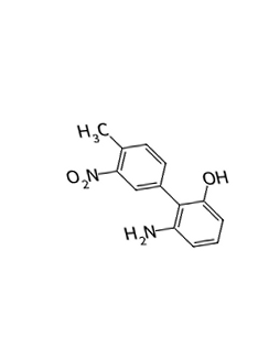 Cc1ccc(-c2c(N)cccc2O)cc1[N+](=O)[O-]